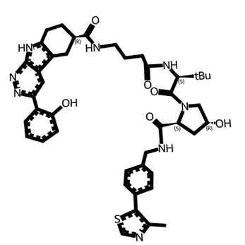 Cc1ncsc1-c1ccc(CNC(=O)[C@@H]2C[C@@H](O)CN2C(=O)[C@@H](NC(=O)CCCNC(=O)[C@@H]2CCc3[nH]c4nnc(-c5ccccc5O)cc4c3C2)C(C)(C)C)cc1